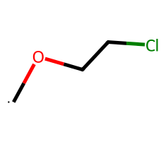 [CH2]OCCCl